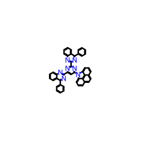 c1ccc(-c2nc(-c3cc(-n4c5cccc6ccc7cccc4c7c65)nc(-c4nc(-c5ccccc5)c5ccccc5n4)n3)nc3ccccc23)cc1